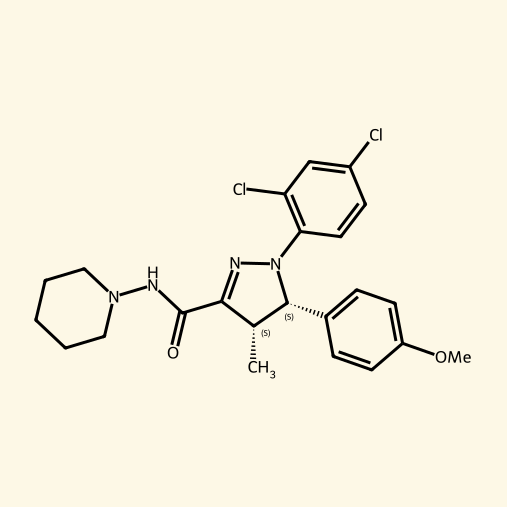 COc1ccc([C@@H]2[C@H](C)C(C(=O)NN3CCCCC3)=NN2c2ccc(Cl)cc2Cl)cc1